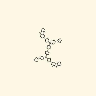 c1ccc(-c2ccc(N(c3ccc(-c4ccc(N(c5ccc(-c6ccccc6)cc5)c5ccc(-c6ccc7sc8ccccc8c7c6)cc5)cc4)cc3)c3ccc(-c4ccc5sc6ccccc6c5c4)cc3)cc2)cc1